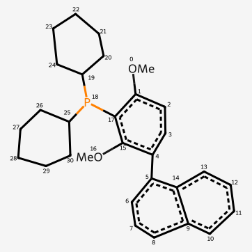 COc1ccc(-c2cccc3ccccc23)c(OC)c1P(C1CCCCC1)C1CCCCC1